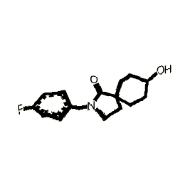 O=C1N(c2ccc(F)cc2)CCC12CCC(O)CC2